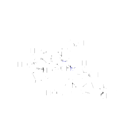 CN(C)c1ccc2c(c1)C(C)(C)C(/C=C/C=C1/N(CCCO)c3ccc4c(c3C1(C)C)C1=C(C=CCC1)C4(C)C)CN2CCCO